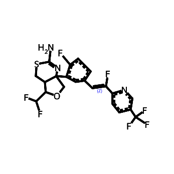 NC1=NC2(c3cc(/C=C(\F)c4ccc(C(F)(F)F)cn4)ccc3F)COC(C(F)F)C2CS1